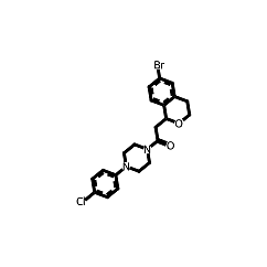 O=C(CC1OCCc2cc(Br)ccc21)N1CCN(c2ccc(Cl)cc2)CC1